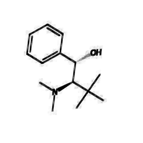 CN(C)[C@@H]([C@@H](O)c1ccccc1)C(C)(C)C